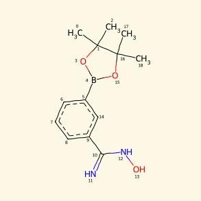 CC1(C)OB(c2cccc(C(=N)NO)c2)OC1(C)C